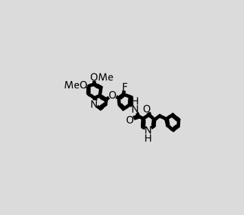 COc1cc2nccc(Oc3ccc(NC(=O)c4c[nH]cc(Cc5ccccc5)c4=O)cc3F)c2cc1OC